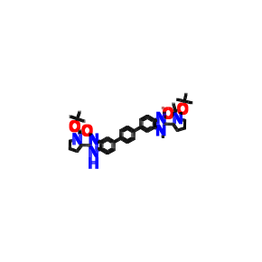 COC(C)(OC(C)(C)C)N1CCCC1c1nc2ccc(-c3ccc(-c4ccc5[nH]c(C6CCCN6C(=O)OC(C)(C)C)nc5c4)cc3)cc2n1C